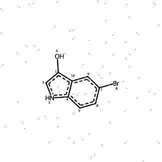 Oc1c[nH]c2ccc(Br)cc12